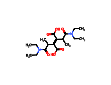 CCN(CC)C(=O)[C@@H](C)/C(C(=O)O)=C(\C(=O)O)[C@H](C)C(=O)N(CC)CC